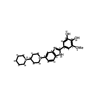 COc1cc(-c2nc3cc(N4CCC(N5CCCCC5)CC4)ccc3[nH]2)cc(O)c1O